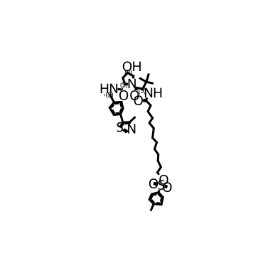 Cc1ccc(S(=O)(=O)OCCCCCCCCCCCCC(=O)N[C@H](C(=O)N2C[C@H](O)C[C@H]2C(=O)N[C@@H](C)c2ccc(-c3scnc3C)cc2)C(C)(C)C)cc1